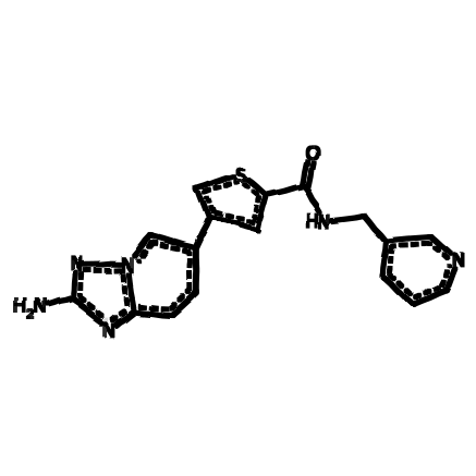 Nc1nc2ccc(-c3csc(C(=O)NCc4cccnc4)c3)cn2n1